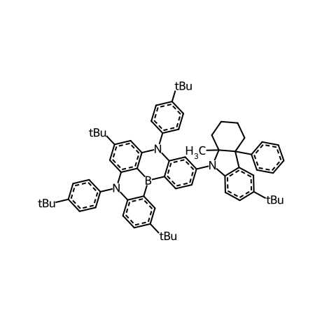 CC(C)(C)c1ccc(N2c3ccc(C(C)(C)C)cc3B3c4ccc(N5c6ccc(C(C)(C)C)cc6C6(c7ccccc7)CCCCC56C)cc4N(c4ccc(C(C)(C)C)cc4)c4cc(C(C)(C)C)cc2c43)cc1